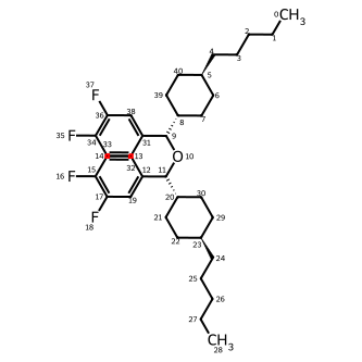 CCCCC[C@H]1CC[C@H](C(OC(c2ccc(F)c(F)c2)[C@H]2CC[C@H](CCCCC)CC2)c2ccc(F)c(F)c2)CC1